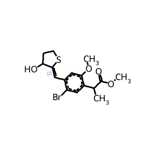 COC(=O)C(C)c1cc(Br)c(/C=C2\SCCC2O)cc1OC